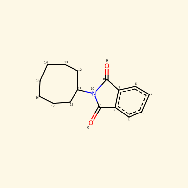 O=C1c2ccccc2C(=O)N1C1CCCCCCC1